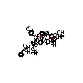 COc1ccc(CN(Cc2ccc(OC)cc2)S(=O)(=O)c2c(S(=O)(=O)N[C@@H](CNC(=O)OCc3ccccc3)CO[Si](C)(C)C(C)(C)C)ccc(N3CCC(S(=O)(=O)NCCN(C(=O)O)C(C)(C)C)CC3)c2-c2nnn(Cc3ccc(OC)cc3)n2)cc1